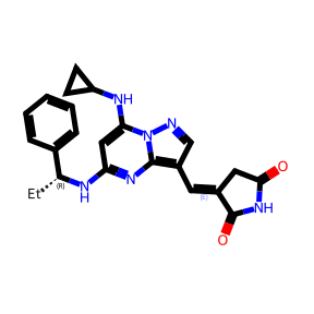 CC[C@@H](Nc1cc(NC2CC2)n2ncc(/C=C3\CC(=O)NC3=O)c2n1)c1ccccc1